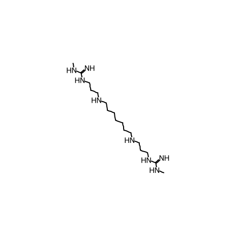 CNC(=N)NCCCNCCCCCCCNCCCNC(=N)NC